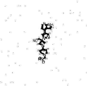 N#CCC1(n2cc(-c3ccnc4[nH]ccc34)cn2)CN(C2CCN(C[SH](=O)=O)CC2)C1